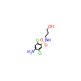 Nc1cc(Cl)c(S(=O)(=O)NCCCO)cc1Cl